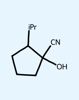 CC(C)C1CCCC1(O)C#N